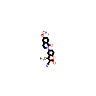 COc1ccc2c(=O)n(-c3ccc4oc(=O)c(C#N)c(C)c4c3)ccc2c1